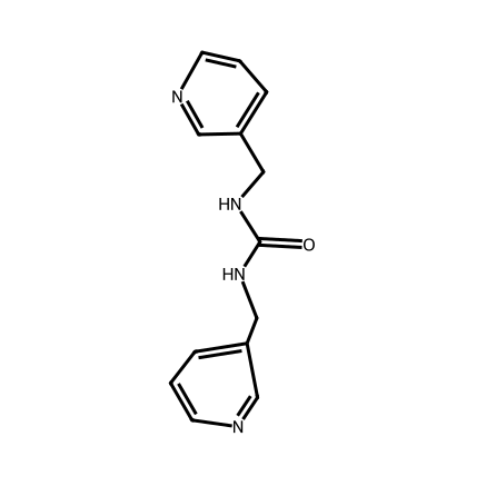 O=C(NCc1cccnc1)NCc1cccnc1